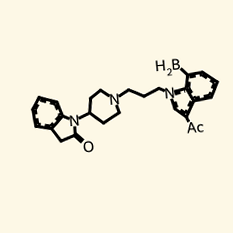 Bc1cccc2c(C(C)=O)cn(CCCN3CCC(N4C(=O)Cc5ccccc54)CC3)c12